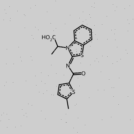 Cc1ccc(C(=O)N=c2sc3ccccc3n2C(C)C(=O)O)s1